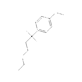 CCSCCC(C)(C)c1ccc(SC)cc1